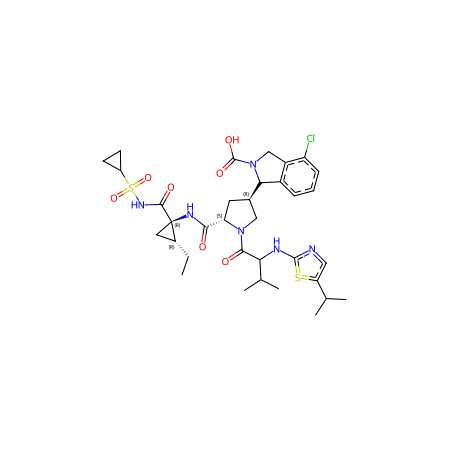 CC[C@@H]1C[C@]1(NC(=O)[C@@H]1C[C@@H](C2c3cccc(Cl)c3CN2C(=O)O)CN1C(=O)C(Nc1ncc(C(C)C)s1)C(C)C)C(=O)NS(=O)(=O)C1CC1